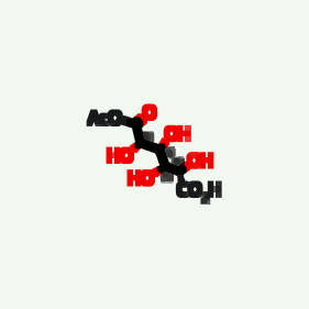 CC(=O)OC(=O)[C@H](O)[C@@H](O)[C@H](O)[C@H](O)C(=O)O